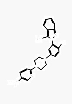 CCOC(=O)c1ccc(N2CCN(c3ccc(Cl)c(-n4nc5ccccc5c4C)c3)CC2)nc1